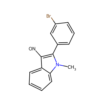 Cn1c(-c2cccc(Br)c2)c(N=O)c2ccccc21